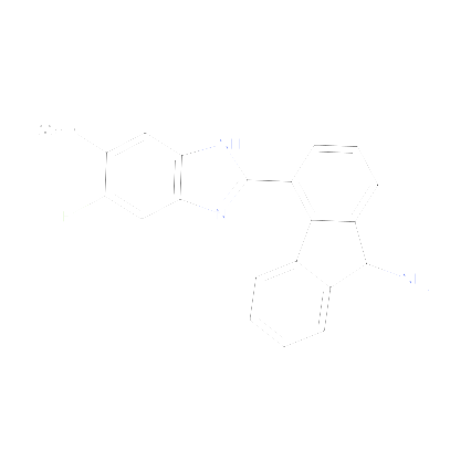 COc1cc2[nH]c(-c3cccc4c3-c3ccccc3C4N)nc2cc1F